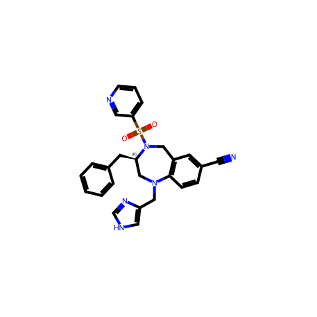 N#Cc1ccc2c(c1)CN(S(=O)(=O)c1cccnc1)[C@H](Cc1ccccc1)CN2Cc1c[nH]cn1